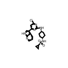 O=S(=O)(N[C@H]1CC[C@H](Nc2nc(Cl)cc(-c3c[nH]c4ncccc34)n2)CC1)C1CC1